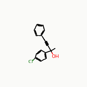 CC(O)(C#Cc1ccccc1)c1ccc(Cl)cc1